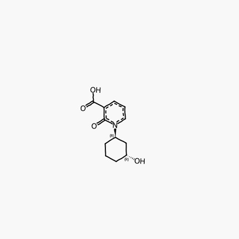 O=C(O)c1cccn([C@@H]2CCC[C@@H](O)C2)c1=O